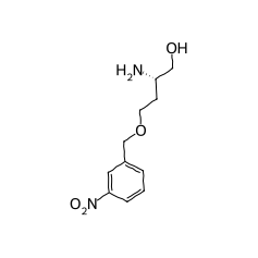 N[C@H](CO)CCOCc1cccc([N+](=O)[O-])c1